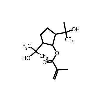 C=C(C)C(=O)OC1C(C(C)(O)C(F)(F)F)CCC1C(O)(C(F)(F)F)C(F)(F)F